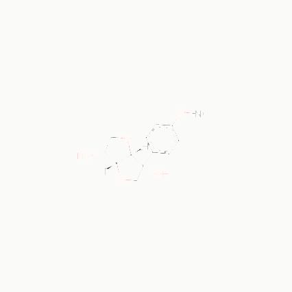 O=[N+]([O-])Oc1ccc([C@@]2(O)CO[C@@H]3[C@H](O)CO[C@@H]32)cc1